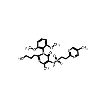 COc1cccc(OC)c1-n1c(CCCO)nc(O)c(NS(=O)(=O)CCc2ncc(C)cn2)c1=O